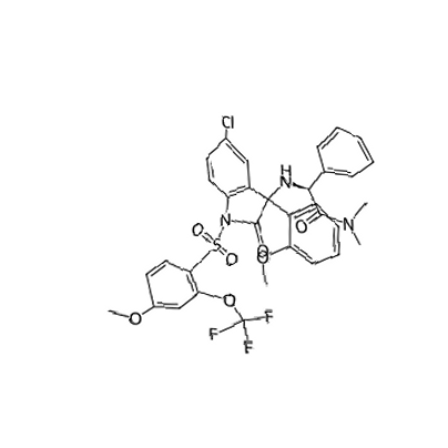 COc1ccc(S(=O)(=O)N2C(=O)C(N[C@H](C(=O)N(C)C)c3ccccc3)(c3ccccc3OC)c3cc(Cl)ccc32)c(OC(F)(F)F)c1